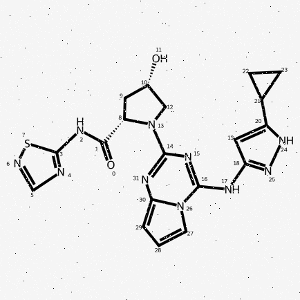 O=C(Nc1ncns1)[C@@H]1C[C@H](O)CN1c1nc(Nc2cc(C3CC3)[nH]n2)n2cccc2n1